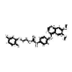 COc1cc2ncnc(Oc3ccc(NC(=O)OCCSc4cc(C)ccc4C)cc3)c2cc1OC